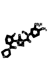 Cc1ccc(N(C(=O)n2nnn(-c3c(F)cccc3C(=O)N3CCOCC3)c2=O)C(C)C)cc1C(=O)O